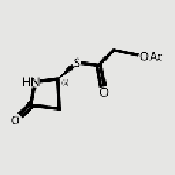 CC(=O)OCC(=O)S[C@H]1CC(=O)N1